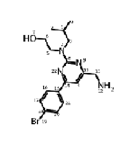 CC(C)CN(CCO)c1nc(CN)cc(-c2ccc(Br)cc2)n1